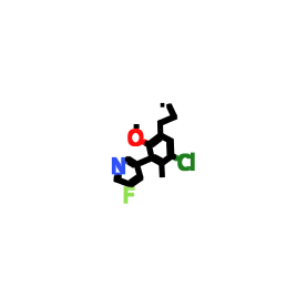 [CH2]CCc1cc(Cl)c(C)c(-c2cncc(F)c2)c1OC